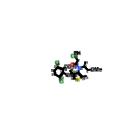 COC[C@H](C)N(C(=O)CCl)c1c(C)csc1C.COc1c(Cl)ccc(Cl)c1C(=O)O.[KH]